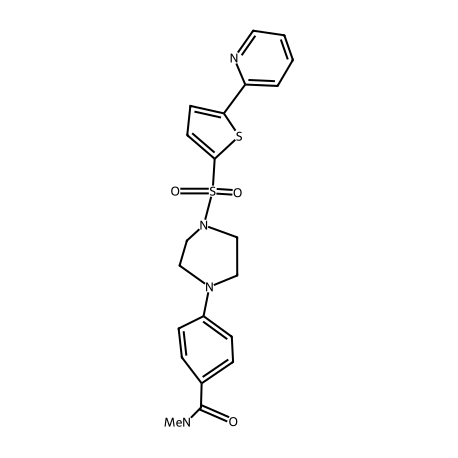 CNC(=O)c1ccc(N2CCN(S(=O)(=O)c3ccc(-c4ccccn4)s3)CC2)cc1